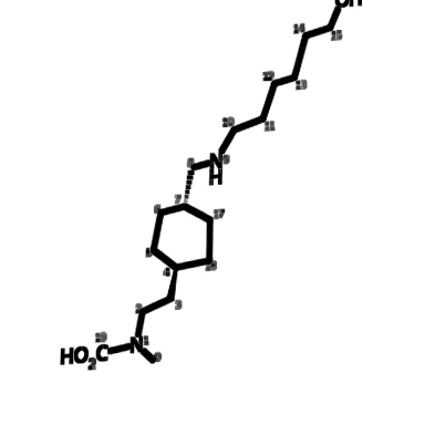 CN(CC[C@H]1CC[C@H](CNCCCCCCO)CC1)C(=O)O